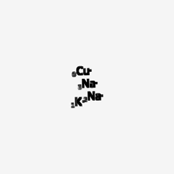 [Cu].[K].[Na].[Na]